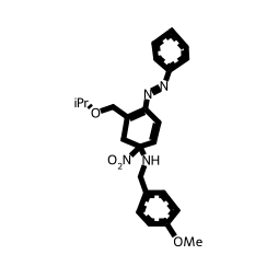 COc1ccc(CNC2([N+](=O)[O-])C=CC(N=Nc3ccccc3)=C(COC(C)C)C2)cc1